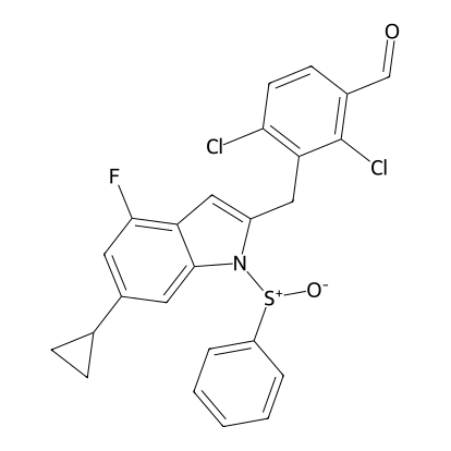 O=Cc1ccc(Cl)c(Cc2cc3c(F)cc(C4CC4)cc3n2[S+]([O-])c2ccccc2)c1Cl